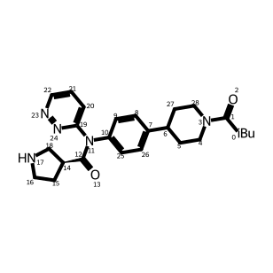 CCC(C)C(=O)N1CCC(c2ccc(N(C(=O)[C@H]3CCNC3)c3cccnn3)cc2)CC1